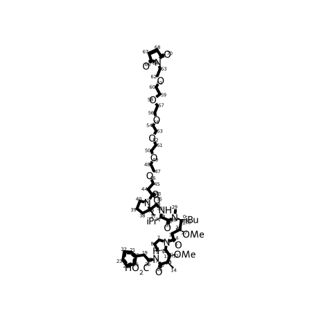 CC[C@H](C)[C@@H]([C@@H](CC(=O)N1CCC[C@H]1[C@H](OC)[C@@H](C)C(=O)N[C@@H](Cc1ccccc1)C(=O)O)OC)N(C)C(=O)[C@@H](NC(=O)[C@]1(C)CCCN1C(=O)CCOCCOCCOCCOCCOCCOCCN1C(=O)C=CC1=O)C(C)C